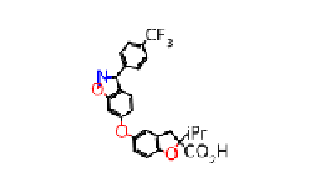 CC(C)C1(C(=O)O)Cc2cc(Oc3ccc4c(-c5ccc(C(F)(F)F)cc5)noc4c3)ccc2O1